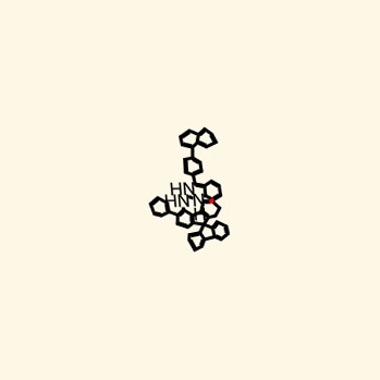 C1=CC2=C(c3ccc(-c4cccc5ccccc45)cc3)NC(Nc3c(-c4ccccc4)ccc4c3C3=C(CCC=C3)C43c4ccccc4-c4ccccc43)NC2C=C1